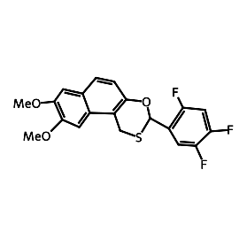 COc1cc2ccc3c(c2cc1OC)CSC(c1cc(F)c(F)cc1F)O3